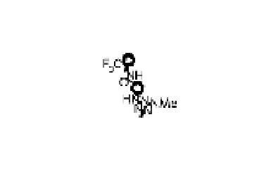 CNc1nc(C)nc(N[C@H]2CCC[C@@H](C(=O)NCc3ccccc3C(F)(F)F)C2)n1